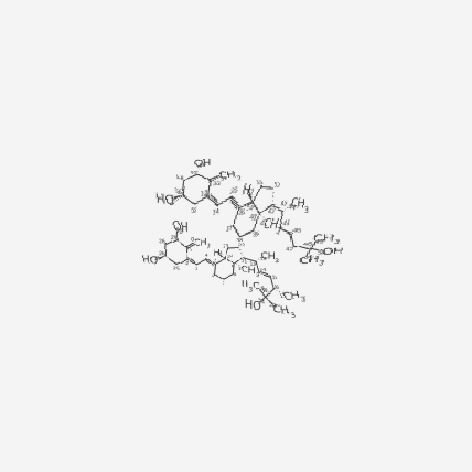 C=C1/C(=C\C=C2/CCC[C@]3(C)[C@@H]([C@H](C)/C=C/[C@H](C)C(C)(C)O)CC[C@@H]23)C[C@@H](O)CC1O.C=C1/C(=C\C=C2/CCC[C@]3(C)[C@@H]([C@H](C)CCCC(C)(C)O)CC[C@@H]23)C[C@@H](O)C[C@@H]1O